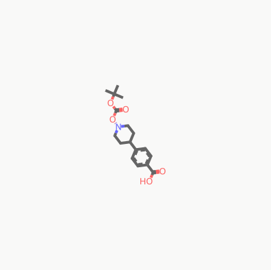 CC(C)(C)OC(=O)ON1CCC(c2ccc(C(=O)O)cc2)CC1